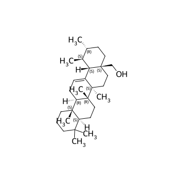 C[C@H]1[C@H](C)CC[C@]2(CO)CC[C@]3(C)C(=CC[C@@H]4[C@@]5(C)CCCC(C)(C)[C@@H]5CC[C@]43C)[C@H]12